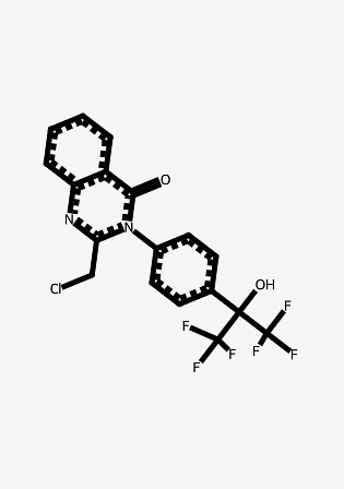 O=c1c2ccccc2nc(CCl)n1-c1ccc(C(O)(C(F)(F)F)C(F)(F)F)cc1